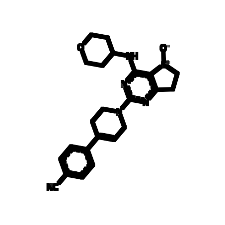 N#Cc1ccc(C2=CCN(c3nc4c(c(NC5CCOCC5)n3)[S+]([O-])CC4)CC2)cc1